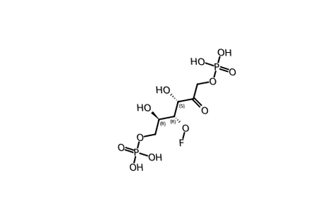 O=C(COP(=O)(O)O)[C@@H](O)[C@H](OF)[C@H](O)COP(=O)(O)O